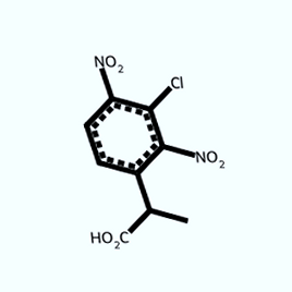 CC(C(=O)O)c1ccc([N+](=O)[O-])c(Cl)c1[N+](=O)[O-]